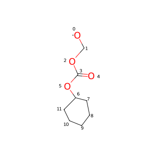 [O]COC(=O)OC1CCCCC1